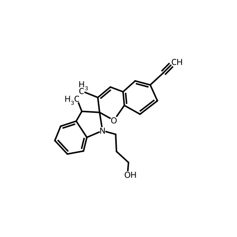 C#Cc1ccc2c(c1)C=C(C)C1(O2)C(C)c2ccccc2N1CCCO